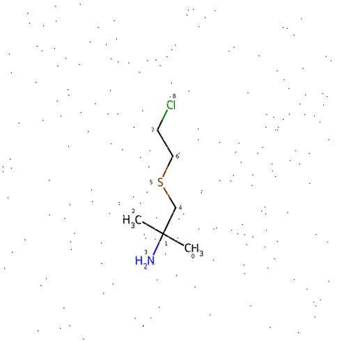 CC(C)(N)CSCCCl